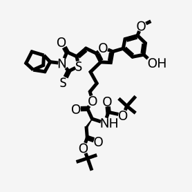 COc1cc(O)cc(-c2cc(CCCOC(=O)[C@H](CC(=O)OC(C)(C)C)NC(=O)OC(C)(C)C)c(/C=C3\SC(=S)N(C4CC5CCC4C5)C3=O)o2)c1